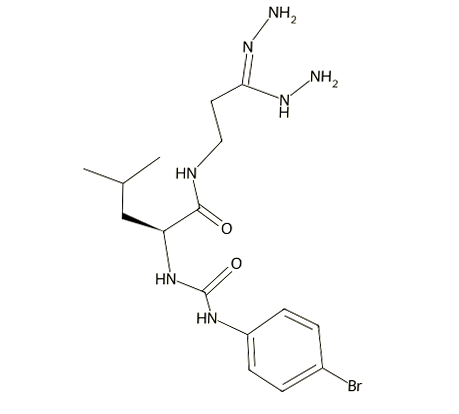 CC(C)C[C@H](NC(=O)Nc1ccc(Br)cc1)C(=O)NCC/C(=N/N)NN